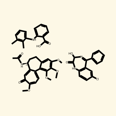 COc1cc2c(c(OC)c1OC)-c1ccc(OC)c(=O)cc1[C@@H](NC(C)=O)CC2.Cc1cccc(Nc2ccccc2C(=O)O)c1C.O=C1Nc2ccc(Cl)cc2C(c2ccccc2)=NC1O